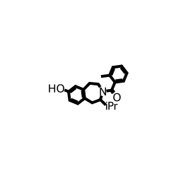 Cc1ccccc1C(=O)N1CCc2cc(O)ccc2CC1C(C)C